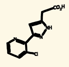 O=C(O)Cc1cc(-c2ncccc2Cl)n[nH]1